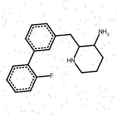 NC1CCCNC1Cc1cccc(-c2ccccc2F)c1